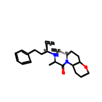 CCOC(=O)[C@H](CCc1ccccc1)NC(C)C(=O)N1C2CCCOC2CC[C@H]1C(=O)O